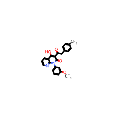 O=C(Cc1ccc(C(F)(F)F)cc1)c1c(O)c2cccnc2n(-c2cccc(OC(F)(F)F)c2)c1=O